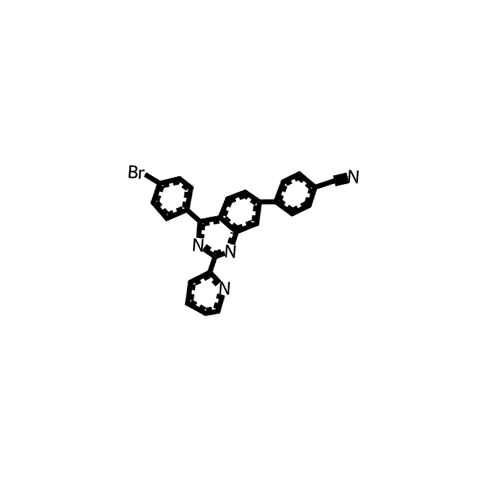 N#Cc1ccc(-c2ccc3c(-c4ccc(Br)cc4)nc(-c4ccccn4)nc3c2)cc1